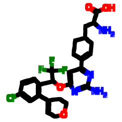 Nc1nc(OC(c2ccc(Cl)cc2C2=CCOCC2)C(F)(F)F)cc(C2=CCC(CC(N)C(=O)O)CC2)n1